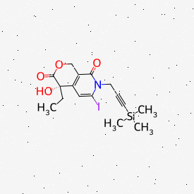 CC[C@@]1(O)C(=O)OCc2c1cc(I)n(CC#C[Si](C)(C)C)c2=O